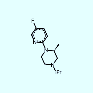 CC(C)N1CCN(c2ccc(F)cn2)[C@@H](C)C1